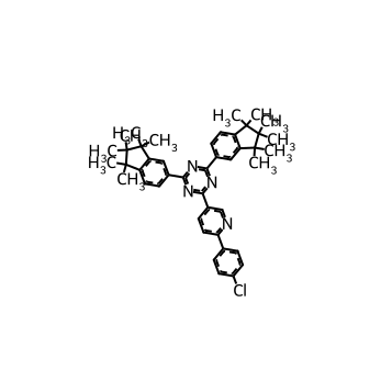 CC1(C)c2ccc(-c3nc(-c4ccc(-c5ccc(Cl)cc5)nc4)nc(-c4ccc5c(c4)C(C)(C)C(C)(C)C5(C)C)n3)cc2C(C)(C)C1(C)C